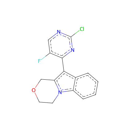 Fc1cnc(Cl)nc1-c1c2n(c3ccccc13)CCOC2